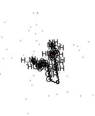 CC(C)(CCCc1cccc(CCCCCC(=O)CCNC(=O)CCNC(=O)C(O)C(C)(C)COP(=O)(O)OP(=O)(O)OCC2OC(n3cnc4c(N)ncnc43)C(O)C2OP(=O)(O)O)c1)C(=O)CCNC(=O)CCNC(=O)C(O)C(C)(C)COP(=O)(O)OP(=O)(O)OCC1OC(n2cnc3c(N)ncnc32)C(O)C1OP(=O)(O)O